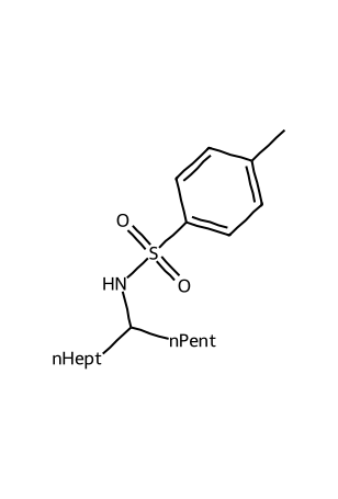 CCCCCCCC(CCCCC)NS(=O)(=O)c1ccc(C)cc1